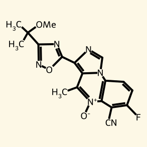 COC(C)(C)c1noc(-c2ncn3c2c(C)[n+]([O-])c2c(C#N)c(F)ccc23)n1